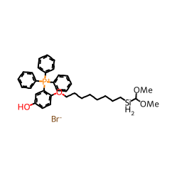 COC(OC)[SiH2]CCCCCCCCOc1ccc(O)cc1[P+](c1ccccc1)(c1ccccc1)c1ccccc1.[Br-]